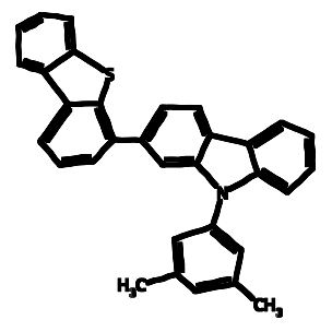 Cc1cc(C)cc(-n2c3ccccc3c3ccc(-c4cccc5c4sc4ccccc45)cc32)c1